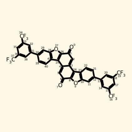 O=C1C=C2C(=CC(=O)c3oc4cc(-c5cc(C(F)(F)F)cc(C(F)(F)F)c5)ccc4c32)c2c1oc1cc(-c3cc(C(F)(F)F)cc(C(F)(F)F)c3)ccc21